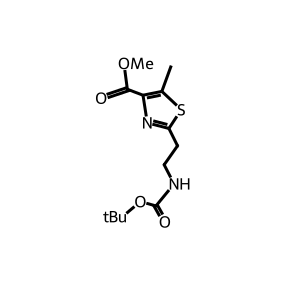 COC(=O)c1nc(CCNC(=O)OC(C)(C)C)sc1C